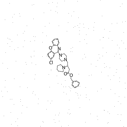 O=C(CC(CN1CCN(C2=Nc3ccccc3Oc3ccc(Cl)cc32)CC1)N1CCCCC1)OCc1ccccc1